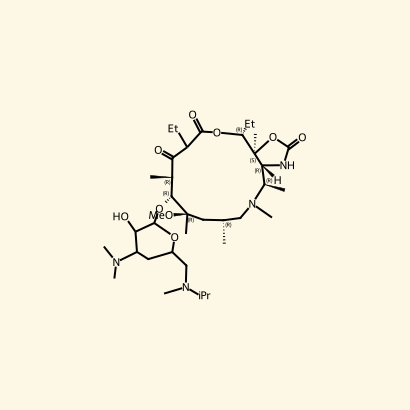 CCC1C(=O)O[C@H](CC)[C@@]2(C)OC(=O)N[C@@H]2[C@@H](C)N(C)C[C@H](C)C[C@@](C)(OC)[C@H](OC2OC(CN(C)C(C)C)CC(N(C)C)C2O)[C@@H](C)C1=O